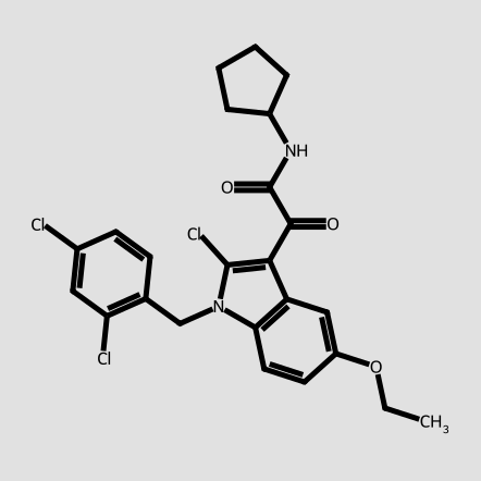 CCOc1ccc2c(c1)c(C(=O)C(=O)NC1CCCC1)c(Cl)n2Cc1ccc(Cl)cc1Cl